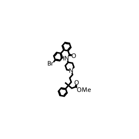 COC(=O)CC(C)(CCCN1CCC(NC(=O)c2ccccc2-c2ccc(Br)cc2)CC1)c1ccccc1